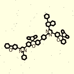 c1ccc(-c2nc(-c3ccc4c(c3)Oc3ccc(-c5ccc(-c6nc(-c7ccc8c(c7)Oc7ccccc7C87c8ccccc8-c8ccccc87)cc(-c7ccc(-c8ccccc8)c8ccccc78)n6)cc5)cc3C43c4ccccc4-c4ccccc43)cc(-c3ccc4c(c3)oc3ccccc34)n2)cc1